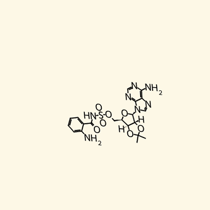 CC1(C)O[C@@H]2[C@@H](O1)[C@@H](COS(=O)(=O)NC(=O)c1ccccc1N)O[C@H]2n1cnc2c(N)ncnc21